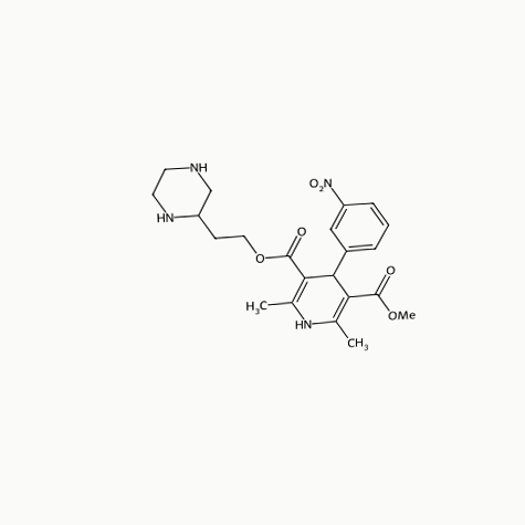 COC(=O)C1=C(C)NC(C)=C(C(=O)OCCC2CNCCN2)C1c1cccc([N+](=O)[O-])c1